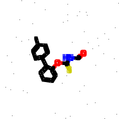 Cc1ccc(-c2ccccc2OC(=S)NC=O)cc1